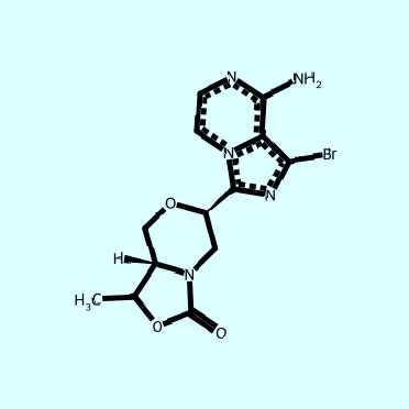 CC1OC(=O)N2C[C@H](c3nc(Br)c4c(N)nccn34)OC[C@@H]12